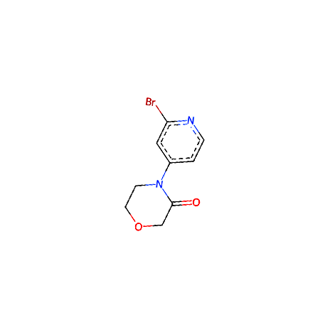 O=C1COCCN1c1ccnc(Br)c1